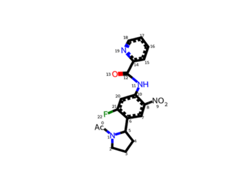 CC(=O)N1CCCC1c1cc([N+](=O)[O-])c(NC(=O)c2ccccn2)cc1F